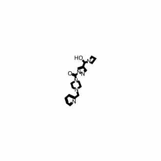 O=C(N1CCN(Cc2ccccn2)CC1)n1cc(C(O)N2CCC2)cn1